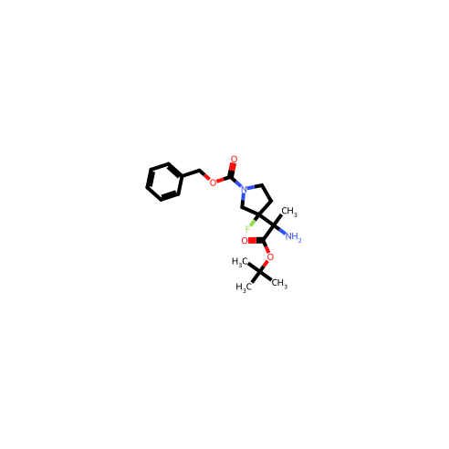 CC(C)(C)OC(=O)C(C)(N)C1(F)CCN(C(=O)OCc2ccccc2)C1